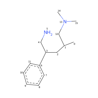 CC(CC(CN)c1ccccc1)CN(C)C